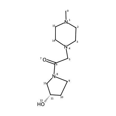 CN1CCN(CC(=O)N2CC[C@H](O)C2)CC1